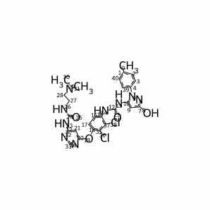 Cc1ccc(-n2nc(O)cc2NC(=O)Nc2ccc(Oc3cc(NC(=O)NCCN(C)C)ncn3)c(Cl)c2Cl)cc1